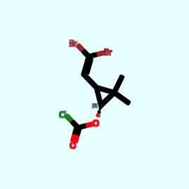 CC1(C)C(C=C(Br)Br)[C@H]1OC(=O)Cl